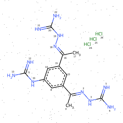 CC(=NNC(=N)N)c1cc(NC(=N)N)cc(C(C)=NNC(=N)N)c1.Cl.Cl.Cl